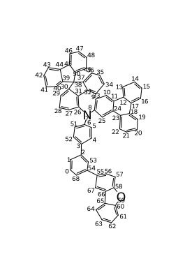 c1cc(-c2ccc(N(c3ccc4c5ccccc5c5ccccc5c4c3)c3cccc4c3-c3ccccc3C43c4ccccc4-c4ccccc43)cc2)cc(-c2ccc3oc4ccccc4c3c2)c1